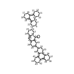 O=c1c2cc(-c3ccc4c5ccccc5c5ccccc5c4c3)ccc2sc2ccc(-c3ccc4c5ccccc5c5ccccc5c4c3)cc12